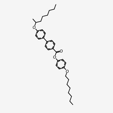 CCCCCCCCOc1ccc(OC(=O)c2ccc(-c3ccc(OC(C)CCCCCC)cc3)cc2)cc1